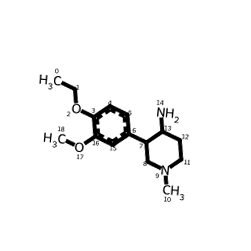 CCOc1ccc(C2CN(C)CCC2N)cc1OC